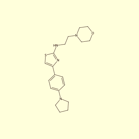 c1cc(N2CCCC2)ccc1-c1csc(NCCN2CCOCC2)n1